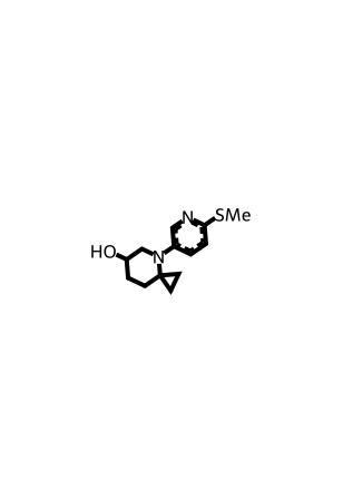 CSc1ccc(N2CC(O)CCC23CC3)cn1